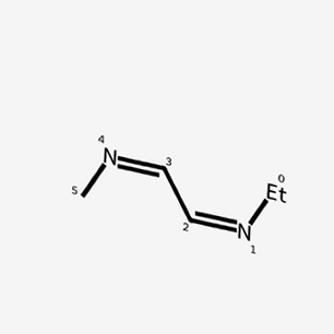 CC/N=C\C=N/C